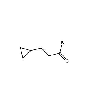 O=C(Br)CCC1CC1